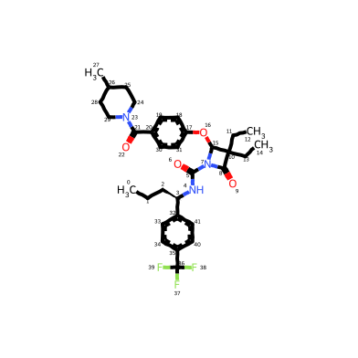 CCC[C@@H](NC(=O)N1C(=O)C(CC)(CC)C1Oc1ccc(C(=O)N2CCC(C)CC2)cc1)c1ccc(C(F)(F)F)cc1